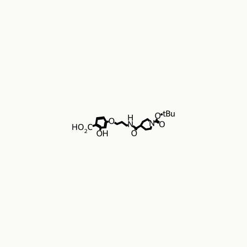 CC(C)(C)OC(=O)N1CCC(C(=O)NCCCOc2ccc(C(=O)O)c(O)c2)CC1